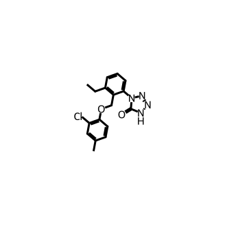 CCc1cccc(-n2nn[nH]c2=O)c1COc1ccc(C)cc1Cl